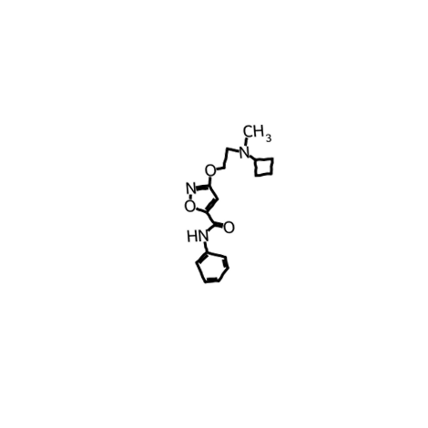 CN(CCOc1cc(C(=O)Nc2ccccc2)on1)C1CCC1